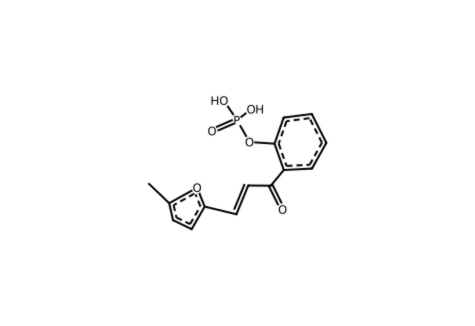 Cc1ccc(C=CC(=O)c2ccccc2OP(=O)(O)O)o1